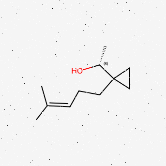 CC(C)=CCCC1([C@@H](C)O)CC1